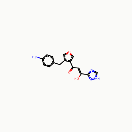 Nc1ccc(Cc2cocc2C(=O)C=C(O)c2nc[nH]n2)cc1